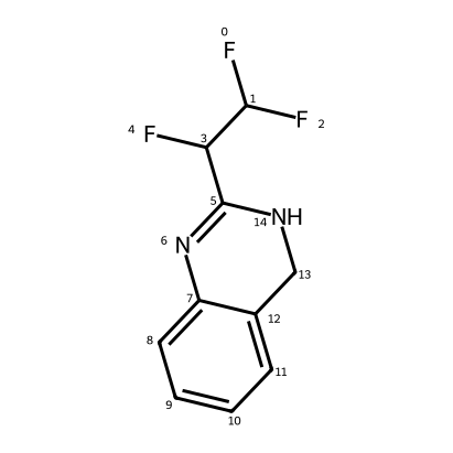 FC(F)C(F)C1=Nc2ccccc2CN1